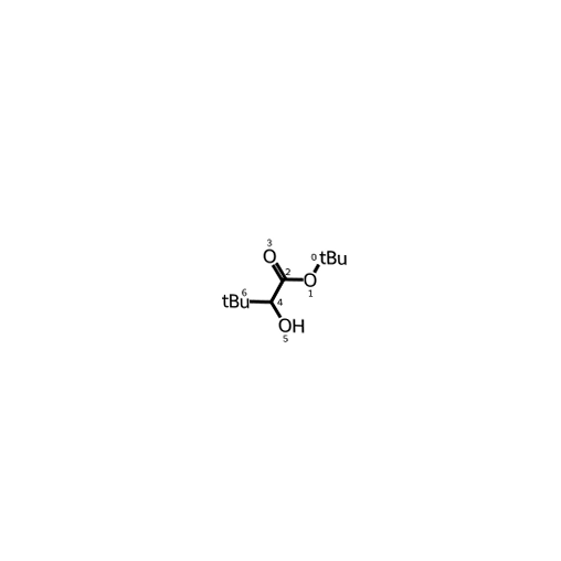 CC(C)(C)OC(=O)C(O)C(C)(C)C